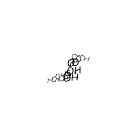 CC(C)C1=CC2=CCC3C(C)(C(=O)OCCC(O)CC(OO)C4(C)CCCC5(C)C6CCC(C(C)C)=CC6=CCC45)CCCC3(C)C2CC1